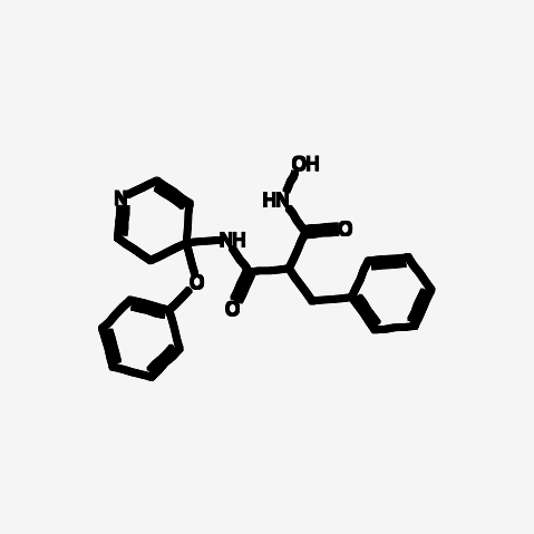 O=C(NO)C(Cc1ccccc1)C(=O)NC1(Oc2ccccc2)C=CN=CC1